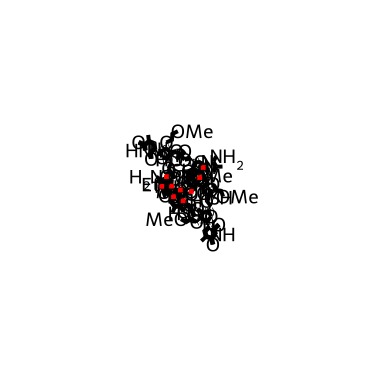 CC[C@H]1O[C@@H](n2cc(C)c(=O)[nH]c2=O)CC1OP(=O)(S)OC[C@H]1O[C@@H](n2cc(C)c(=O)[nH]c2=O)[C@@H](OCCOC)C1OP(=O)(O)OC[C@H]1O[C@@H](C)[C@@H](OCCOC)C1OP(=O)(O)OC[C@H]1O[C@@H](n2cc(C)c(N)nc2=O)[C@@H](OCCOC)C1OP(=O)(S)OC[C@H]1O[C@@H](n2cc(C)c(=O)[nH]c2=O)[C@@H](OCCOC)C1OP(=O)(S)OC[C@H]1O[C@@H](n2cc(C)c(N)nc2=O)[C@@H](OCCOC)C1O